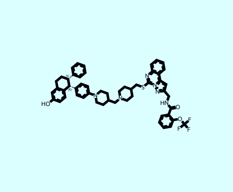 O=C(NCc1cc2c3ccccc3nc(SCC3CCN(CC4CCN(c5ccc([C@@H]6c7ccc(O)cc7CC[C@@H]6c6ccccc6)cc5)CC4)CC3)n2n1)c1ccccc1OC(F)(F)F